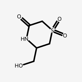 O=C1CS(=O)(=O)CC(CO)N1